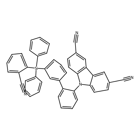 N#Cc1ccc2c(c1)c1cc(C#N)ccc1n2-c1ccccc1-c1cccc([Si](c2ccccc2)(c2ccccc2)c2ccccc2C#N)c1